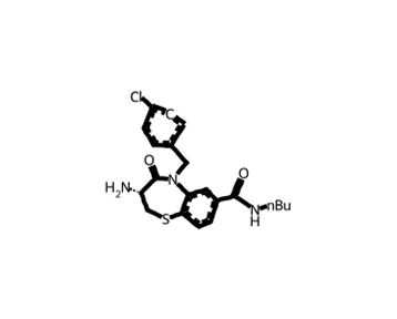 CCCCNC(=O)c1ccc2c(c1)N(Cc1ccc(Cl)cc1)C(=O)[C@@H](N)CS2